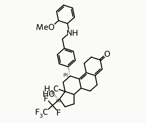 COC1C=CC=CC1NCc1ccc([C@H]2CC3(C)C(CC[C@@]3(O)C(F)(F)C(F)(F)F)C3CCC4=CC(=O)CCC4=C32)cc1